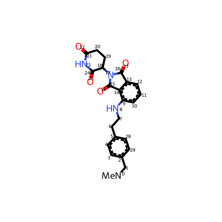 CNCc1ccc(CCNc2cccc3c2C(=O)N(C2CCC(=O)NC2=O)C3=O)cc1